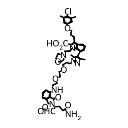 Cc1cc(OCCCc2c(C(=O)O)n(CCN3CCOCC3)c3c(-c4c(C)nn(CCCOCCOCCNc5cccc6c5C(=O)N(C(C=O)CCC(N)=O)C6=O)c4C)cccc23)cc(C)c1Cl